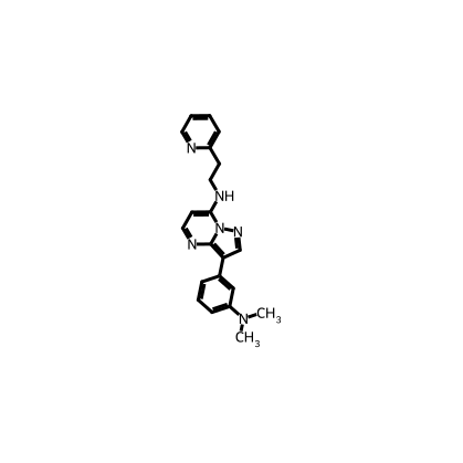 CN(C)c1cccc(-c2cnn3c(NCCc4ccccn4)ccnc23)c1